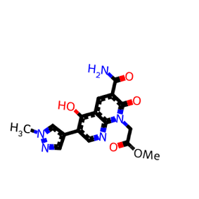 COC(=O)Cn1c(=O)c(C(N)=O)cc2c(O)c(-c3cnn(C)c3)cnc21